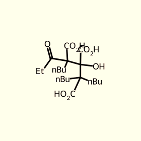 CCCCC(CCCC)(C(=O)O)C(O)(C(=O)O)C(CCCC)(C(=O)O)C(=O)CC